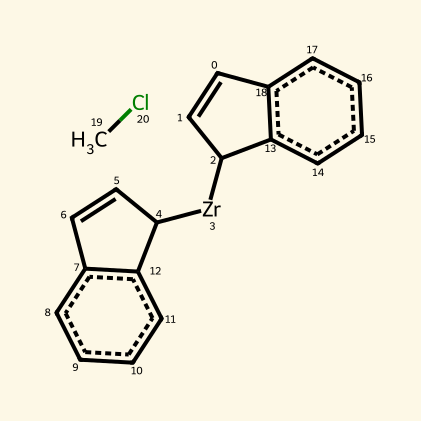 C1=C[CH]([Zr][CH]2C=Cc3ccccc32)c2ccccc21.CCl